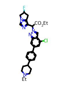 CCOC(=O)C(c1ncn2c1CC(F)C2)n1cc2c(Cl)cc(-c3ccc(C4CCN(CC)CC4)cc3)cc2n1